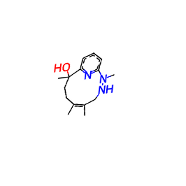 C/C1=C(\C)CNN(C)c2cccc(n2)C(C)(O)CC1